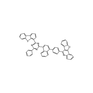 c1ccc(-c2nc(-c3ccc(-c4ccc(-c5nc6ccccc6c6oc7ccccc7c56)cc4)c4ccccc34)nc(-c3cccc4c3sc3ccccc34)n2)cc1